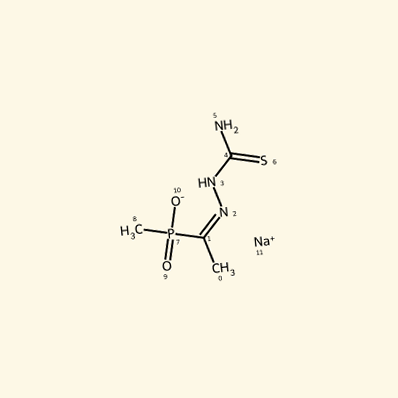 CC(=NNC(N)=S)P(C)(=O)[O-].[Na+]